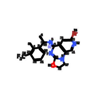 Cc1c([C@@H](C)/N=c2\nc3n(c4cnc(Br)cc24)CCO3)cccc1C(F)(F)F